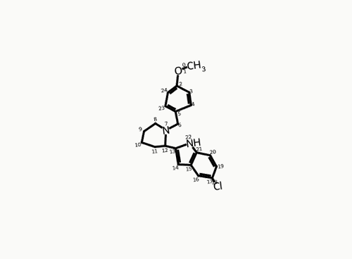 COc1ccc(CN2CCCCC2c2cc3cc(Cl)ccc3[nH]2)cc1